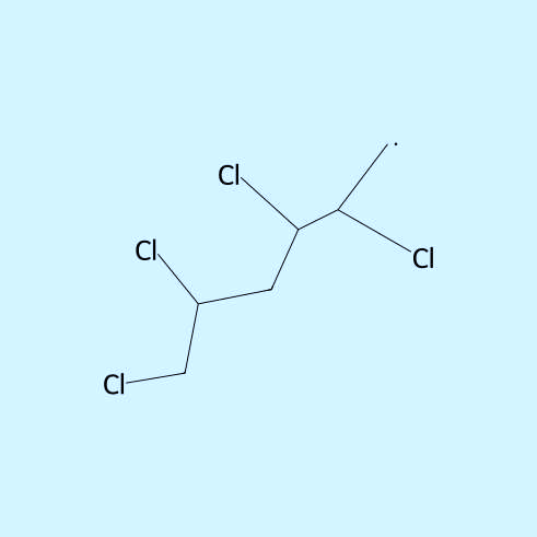 [CH2]C(Cl)C(Cl)CC(Cl)CCl